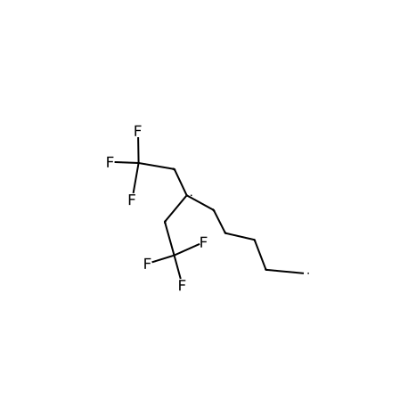 [CH2]CCCC[C](CC(F)(F)F)CC(F)(F)F